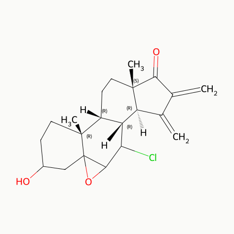 C=C1C(=C)[C@H]2[C@@H]3C(Cl)C4OC45CC(O)CC[C@]5(C)[C@@H]3CC[C@]2(C)C1=O